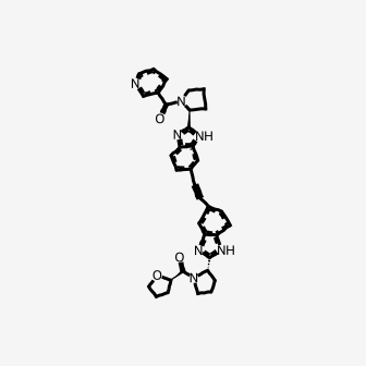 O=C(c1cccnc1)N1CCC[C@H]1c1nc2ccc(C#Cc3ccc4[nH]c([C@@H]5CCCN5C(=O)[C@H]5CCCO5)nc4c3)cc2[nH]1